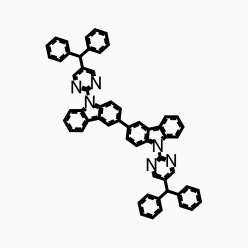 c1ccc(C(c2ccccc2)c2cnc(-n3c4ccccc4c4cc(-c5ccc6c(c5)c5ccccc5n6-c5ncc(C(c6ccccc6)c6ccccc6)cn5)ccc43)nc2)cc1